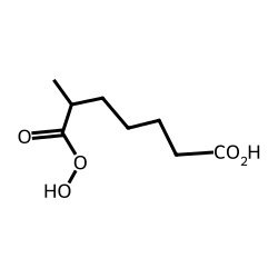 CC(CCCCC(=O)O)C(=O)OO